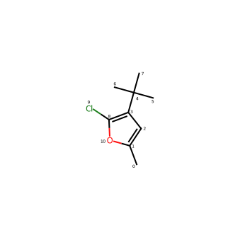 Cc1cc(C(C)(C)C)c(Cl)o1